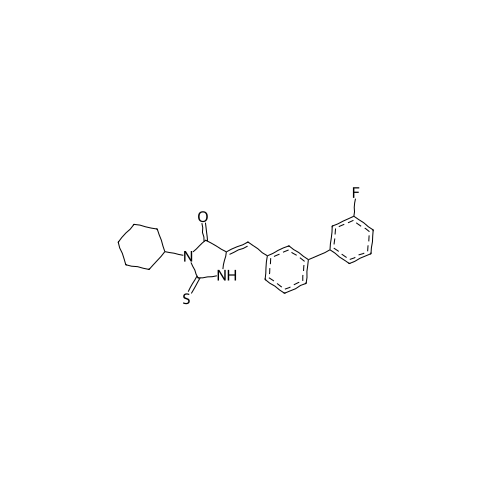 O=C1/C(=C/c2cccc(-c3cccc(F)c3)c2)NC(=S)N1C1CCCCC1